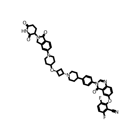 N#Cc1c(F)ccc(F)c1Oc1ccc2ncn(-c3ccc(C4CCN([C@H]5C[C@H](OC6CCN(c7ccc8c(c7)CN(C7CCC(=O)NC7=O)C8=O)CC6)C5)CC4)cc3)c(=O)c2c1